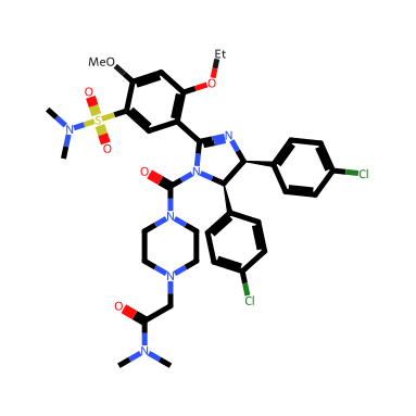 CCOc1cc(OC)c(S(=O)(=O)N(C)C)cc1C1=N[C@@H](c2ccc(Cl)cc2)[C@@H](c2ccc(Cl)cc2)N1C(=O)N1CCN(CC(=O)N(C)C)CC1